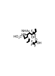 C=CC(F)(F)[C@H](O)[C@H](NC(C)=O)[C@@H]1N[C@@H](C(=O)O)C[C@H]1/C=C\C.O=C(O)C(F)(F)F